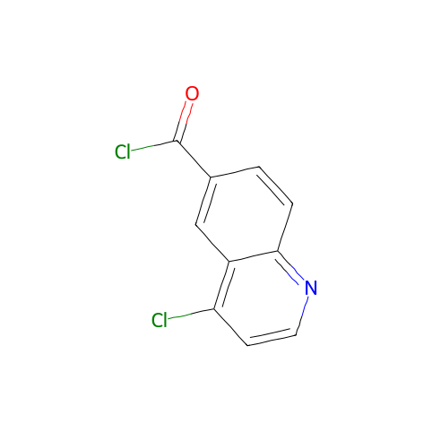 O=C(Cl)c1ccc2nccc(Cl)c2c1